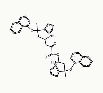 CC(CC(N)OC(=O)C(=O)OC(N)CC(C)(Oc1cccc2ccccc12)c1cccs1)(Oc1cccc2ccccc12)c1cccs1